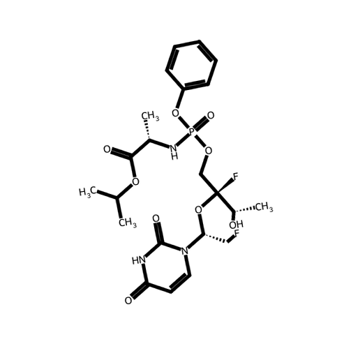 CC(C)OC(=O)[C@H](C)NP(=O)(OC[C@@](F)(O[C@H](CF)n1ccc(=O)[nH]c1=O)[C@H](C)O)Oc1ccccc1